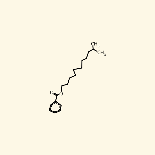 CC(C)CCCCCCCCCOC(=O)c1ccccc1